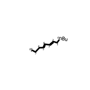 CCCCCC=CC=CCCI